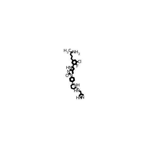 C[C@H](N)CCCc1cc(Cl)c(F)c(-c2cc3cn(-c4ccc([C@@H]5CCC[C@@H](CNCc6cn[nH]c6)N5)cc4)c(=O)nc3[nH]2)c1